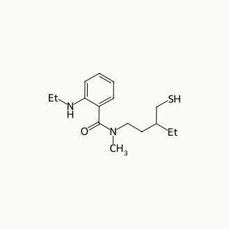 CCNc1ccccc1C(=O)N(C)CCC(CC)CS